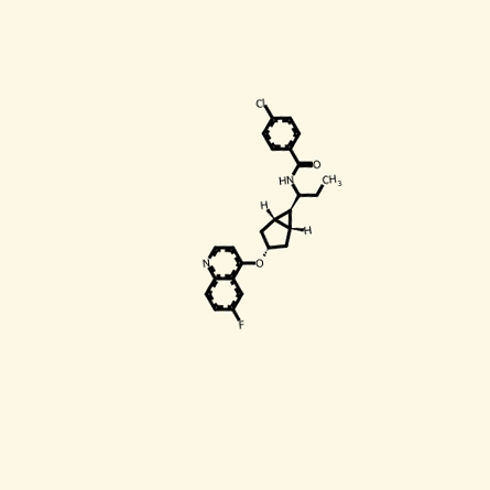 CCC(NC(=O)c1ccc(Cl)cc1)[C@H]1[C@@H]2C[C@H](Oc3ccnc4ccc(F)cc34)C[C@@H]21